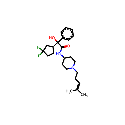 CC(C)=CCCN1CCC(NC(=O)C(O)(c2ccccc2)[C@H]2CCC(F)(F)C2)CC1